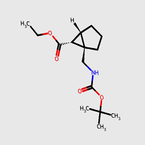 CCOC(=O)[C@@H]1[C@@H]2CCC[C@]12CNC(=O)OC(C)(C)C